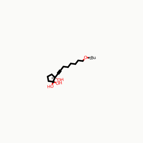 CC(C)(C)OCCCCCCC#C[C@]1(O)CCCC1(O)O